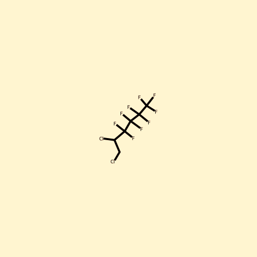 FC(F)(F)C(F)(F)C(F)(F)C(F)(F)C(Cl)CCl